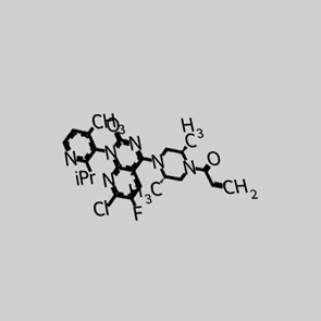 C=CC(=O)N1C[C@H](C)N(c2nc(=O)n(-c3c(C)ccnc3C(C)C)c3nc(Cl)c(F)cc23)C[C@H]1C